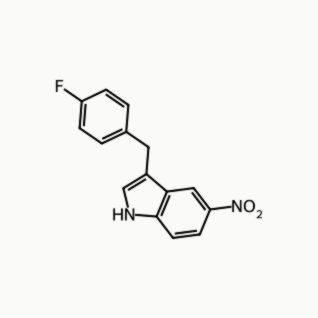 O=[N+]([O-])c1ccc2[nH]cc(Cc3ccc(F)cc3)c2c1